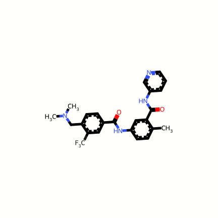 Cc1ccc(NC(=O)c2ccc(CN(C)C)c(C(F)(F)F)c2)cc1C(=O)Nc1cccnc1